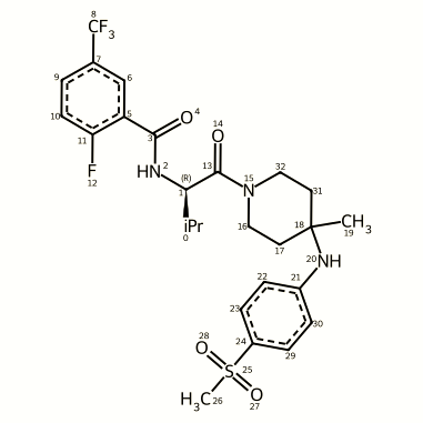 CC(C)[C@@H](NC(=O)c1cc(C(F)(F)F)ccc1F)C(=O)N1CCC(C)(Nc2ccc(S(C)(=O)=O)cc2)CC1